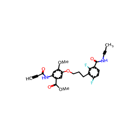 C#CC(=O)Nc1cc(OC)c(OCCCc2c(F)ccc(C(=O)NC#CC)c2F)cc1C(=O)OC